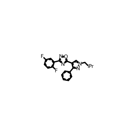 CC(C)Cn1cc(-c2nc(-c3cc(F)ccc3F)no2)c(-c2ccccc2)n1